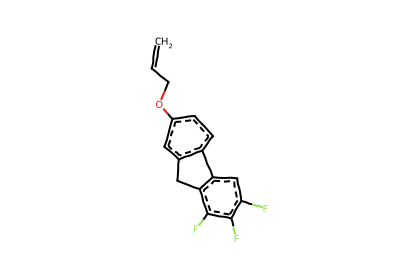 C=CCOc1ccc2c(c1)Cc1c-2cc(F)c(F)c1F